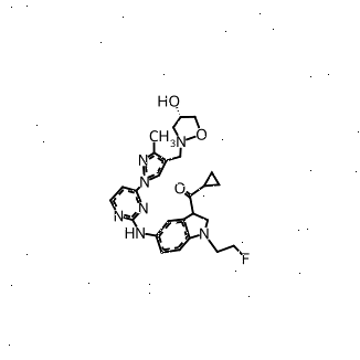 Cc1nn(-c2ccnc(Nc3ccc4c(c3)C(C(=O)C3CC3)CN4CCF)n2)cc1CN1C[C@H](O)CO1